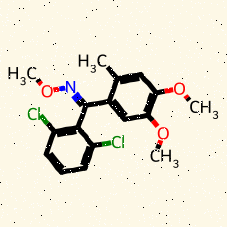 CON=C(c1cc(OC)c(OC)cc1C)c1c(Cl)cccc1Cl